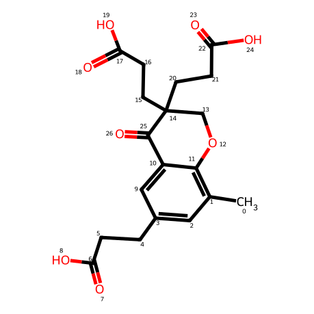 Cc1cc(CCC(=O)O)cc2c1OCC(CCC(=O)O)(CCC(=O)O)C2=O